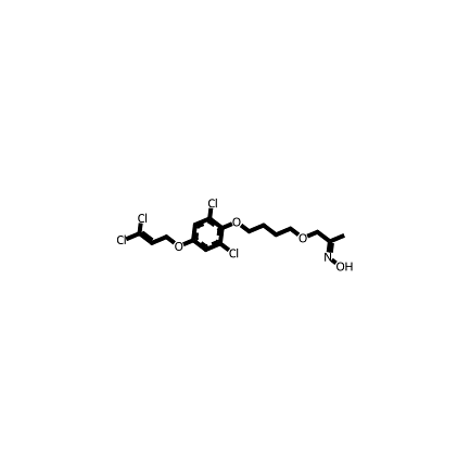 CC(COCCCCOc1c(Cl)cc(OCC=C(Cl)Cl)cc1Cl)=NO